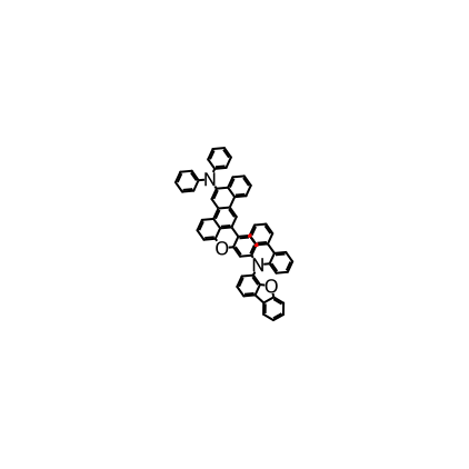 c1ccc(-c2ccccc2N(c2ccc3c(c2)Oc2cccc4c2c-3cc2c3ccccc3c(N(c3ccccc3)c3ccccc3)cc42)c2cccc3c2oc2ccccc23)cc1